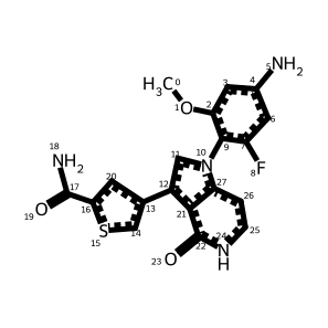 COc1cc(N)cc(F)c1-n1cc(-c2csc(C(N)=O)c2)c2c(=O)[nH]ccc21